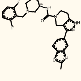 Cc1nc2cc(-c3n[nH]c4c3CN(C(=O)N[C@@H]3CCCN(Cc5c(F)cccc5F)C3)CC4)ccc2o1